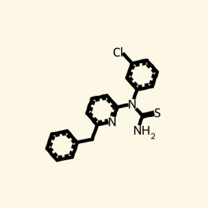 NC(=S)N(c1cccc(Cl)c1)c1cccc(Cc2ccccc2)n1